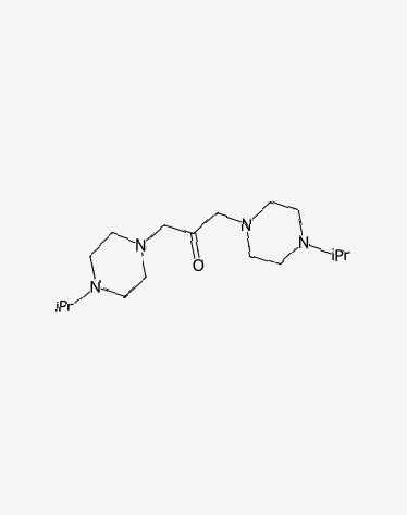 CC(C)N1CCN(CC(=O)CN2CCN(C(C)C)CC2)CC1